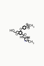 CN/C=C\C(=N)NC(=O)c1cc(Oc2ccc(S(C)(=O)=O)cc2)c2c(c1)OC(CO)C2